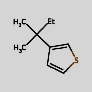 CCC(C)(C)c1ccsc1